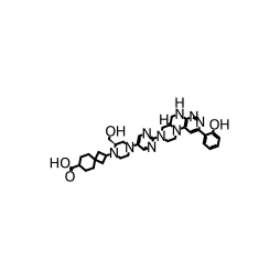 O=C(O)C1CCC2(CC1)CC(N1CCN(c3cnc(N4CCN5c6cc(-c7ccccc7O)nnc6NC[C@H]5C4)nc3)C[C@@H]1CO)C2